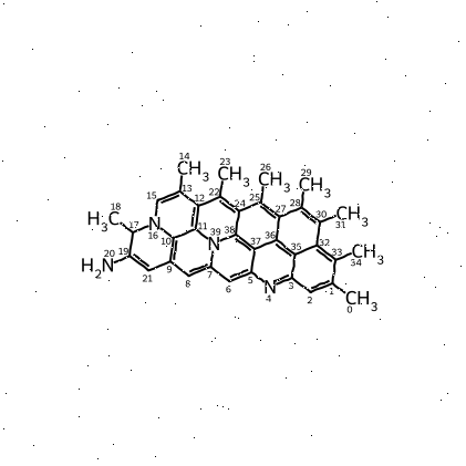 Cc1cc2nc3cc4cc5c6c7c(c(C)cn6C(C)C(N)=C5)c(C)c5c(C)c6c(C)c(C)c(c1C)c2c6c3c5n47